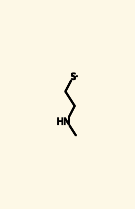 CNCC[S]